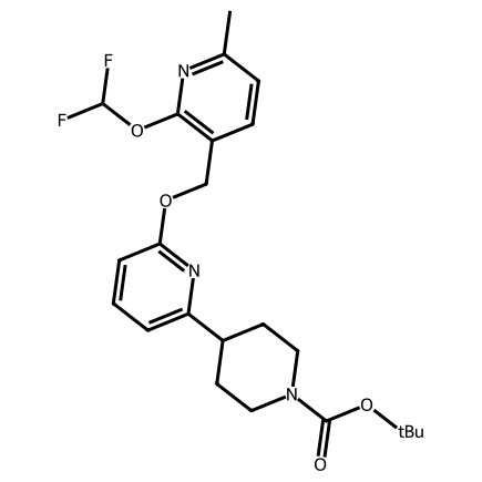 Cc1ccc(COc2cccc(C3CCN(C(=O)OC(C)(C)C)CC3)n2)c(OC(F)F)n1